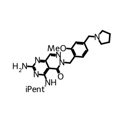 CCC[C@H](C)Nc1nc(N)nc2cnn(Cc3ccc(CN4CCCC4)cc3OC)c(=O)c12